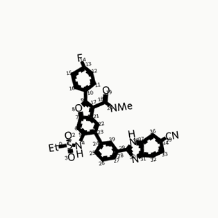 CCS(=O)(=O)Nc1cc2oc(-c3ccc(F)cc3)c(C(=O)NC)c2cc1-c1cccc(-c2nc3ccc(C#N)cc3[nH]2)c1